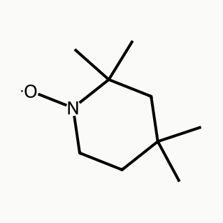 CC1(C)CCN([O])C(C)(C)C1